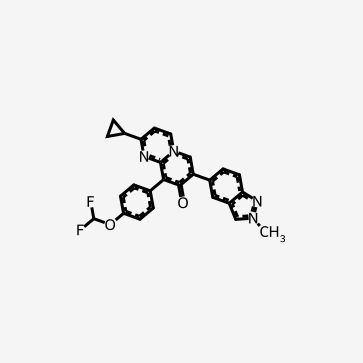 Cn1cc2cc(-c3cn4ccc(C5CC5)nc4c(-c4ccc(OC(F)F)cc4)c3=O)ccc2n1